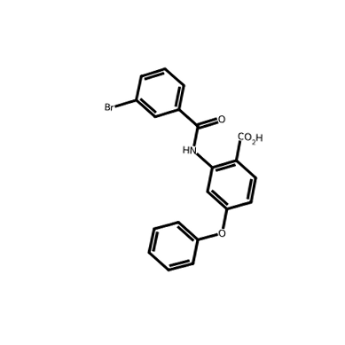 O=C(Nc1cc(Oc2ccccc2)ccc1C(=O)O)c1cccc(Br)c1